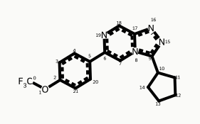 FC(F)(F)Oc1ccc(-c2cn3c(C4CCCC4)nnc3cn2)cc1